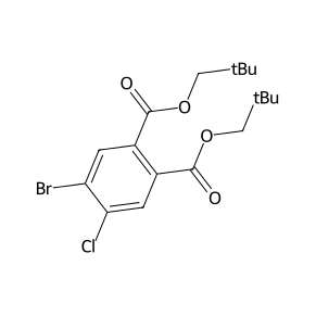 CC(C)(C)COC(=O)c1cc(Cl)c(Br)cc1C(=O)OCC(C)(C)C